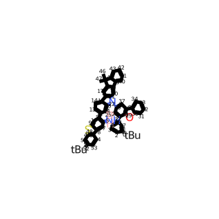 CC(C)(C)c1ccc(Nc2cc3c(cc2-c2ccc4c5cc6c(cc5n5c4c2Bc2cc4oc7ccccc7c4cc2-5)-c2ccccc2C6(C)C)sc2cc(C(C)(C)C)ccc23)cc1